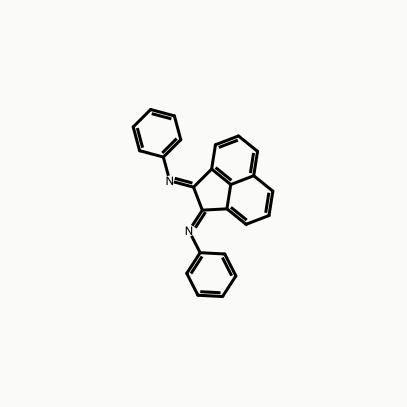 c1ccc(N=C2C(=Nc3ccccc3)c3cccc4cccc2c34)cc1